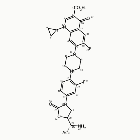 CCOC(=O)c1cn(C2CC2)c2cc(N3CCN(c4ccc(N5CC([C@H](N)C(C)=O)OC5=O)cc4F)CC3)c(F)cc2c1=O